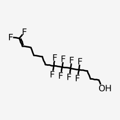 OCCCC(F)(F)C(F)(F)C(F)(F)C(F)(F)CCCCC=C(F)F